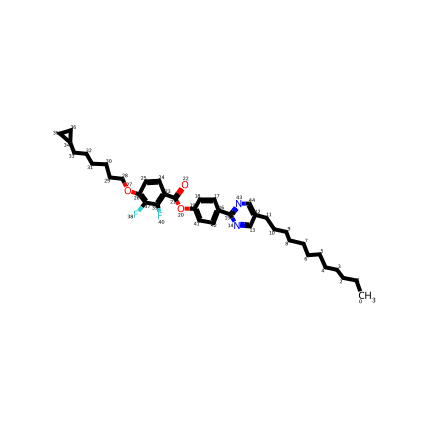 CCCCCCCCCCCCc1cnc(-c2ccc(OC(=O)c3ccc(OCCCCCCC4CC4)c(F)c3F)cc2)nc1